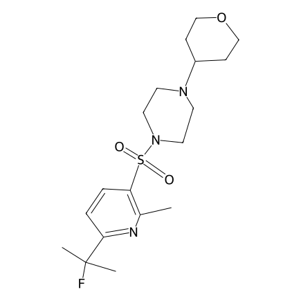 Cc1nc(C(C)(C)F)ccc1S(=O)(=O)N1CCN(C2CCOCC2)CC1